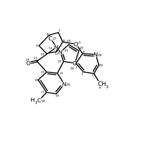 Cc1ccc(OC2CC3CCC2N(C(=O)c2cc(C)cnc2-c2ncco2)C3)nc1